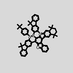 CC(C)(C)c1ccc(N2B3c4cc5c(cc4-n4c6cc7c(cc6c6c8c(oc9ccccc98)c(c3c64)-c3cc4c(cc32)C(C)(C)c2ccccc2-4)C(C)(C)CCC7(C)C)-c2ccccc2C5(C)C)cc1